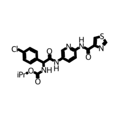 CC(C)OC(=O)NC(C(=O)Nc1ccc(NC(=O)c2cscn2)nc1)c1ccc(Cl)cc1